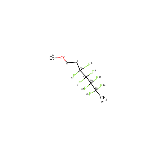 [CH2]COCCC(F)(F)C(F)(F)C(F)(F)C(F)(F)C(F)(F)F